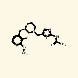 COc1nccc(C[C@@H]2CN(Cc3cnc(NC(C)=O)s3)CCO2)c1F